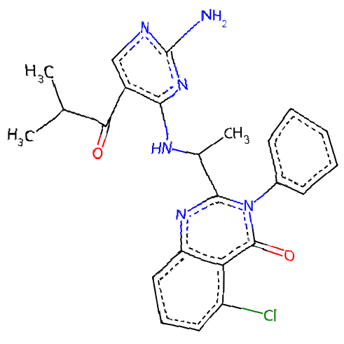 CC(C)C(=O)c1cnc(N)nc1NC(C)c1nc2cccc(Cl)c2c(=O)n1-c1ccccc1